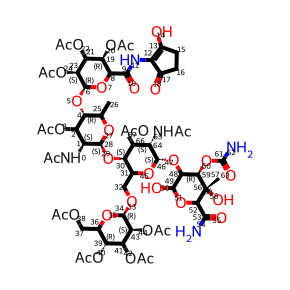 CC(=O)N[C@H]1C(OC(C)=O)[C@H](O[C@@H]2OC(C(=O)NC3=C(O)CCC3=O)[C@H](OC(C)=O)C(OC(C)=O)[C@@H]2OC(C)=O)C(C)O[C@H]1O[C@@H]1C(CO[C@@H]2OC(COC(C)=O)[C@@H](OC(C)=O)C(OC(C)=O)[C@@H]2OC(C)=O)O[C@@H](OC2C(O)OC(C(N)=O)[C@@](C)(O)[C@@H]2OC(N)=O)[C@@H](NC(C)=O)C1OC(C)=O